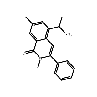 Cc1cc(C(C)N)c2cc(-c3ccccc3)n(C)c(=O)c2c1